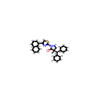 CCC(C)(C(=O)Nc1nc(-c2cccc3ccccc23)cs1)C(c1ccccc1)c1ccccc1